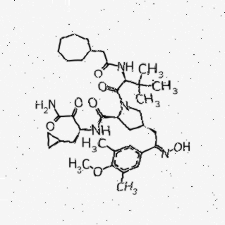 COc1c(C)cc(/C(C[C@H]2C[C@@H](C(=O)N[C@@H](CC3CC3)C(=O)C(N)=O)N(C(=O)[C@@H](NC(=O)CC3CCCCCC3)C(C)(C)C)C2)=N/O)cc1C